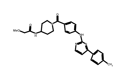 COCC(=O)NC1CCN(C(=O)c2ccc(Nc3nccc(-c4ccc(C)cc4)n3)cc2)CC1